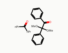 CCCC(=O)CCC.COC(OC)(C(=O)c1ccccc1)c1ccccc1